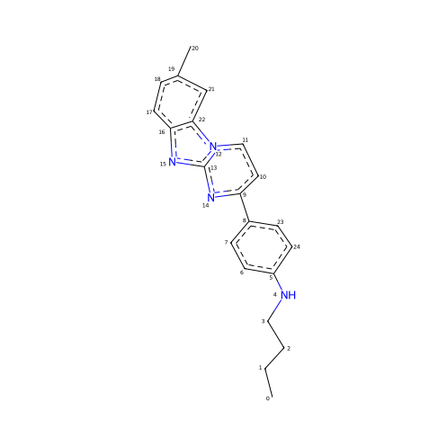 CCCCNc1ccc(-c2ccn3c(n2)nc2ccc(C)cc23)cc1